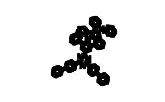 c1ccc(-c2ccc(-c3nc(-c4ccc(-c5ccccc5)cc4)nc(-c4cc(-c5ccccc5)c(-n5c6ccccc6c6c7c8ccccc8n(-c8ccccc8)c7ccc65)c(-c5ccccc5)c4)n3)cc2)cc1